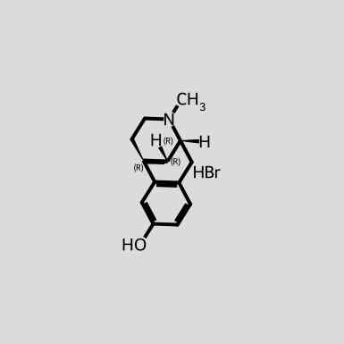 Br.CN1CC[C@]23CCCC[C@H]2[C@H]1Cc1ccc(O)cc13